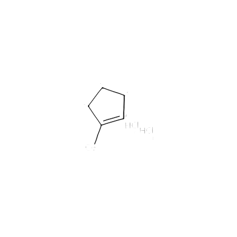 Cl.Cl.[Ce][C]1=CCCC1